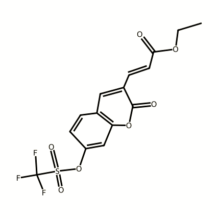 CCOC(=O)/C=C/c1cc2ccc(OS(=O)(=O)C(F)(F)F)cc2oc1=O